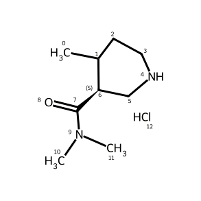 CC1CCNC[C@H]1C(=O)N(C)C.Cl